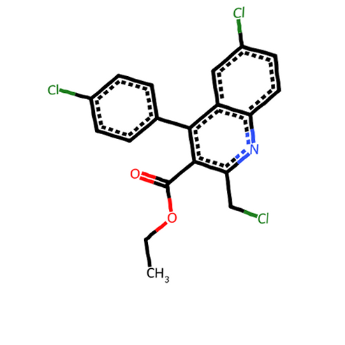 CCOC(=O)c1c(CCl)nc2ccc(Cl)cc2c1-c1ccc(Cl)cc1